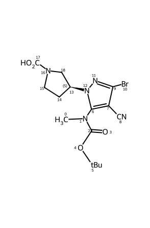 CN(C(=O)OC(C)(C)C)c1c(C#N)c(Br)nn1[C@H]1CCN(C(=O)O)C1